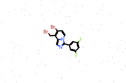 Fc1cc(F)cc(-c2ncc3c(CBr)c(Br)ccn23)c1